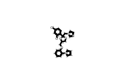 Clc1ccc(C2(Cn3ccnc3)OCC(COc3ccccc3-n3cccc3)O2)c(Cl)c1